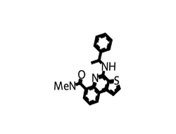 CNC(=O)c1cccc2c1nc(NC(C)c1ccccc1)c1sccc12